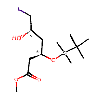 COC(=O)C[C@@H](C[C@H](O)CI)O[Si](C)(C)C(C)(C)C